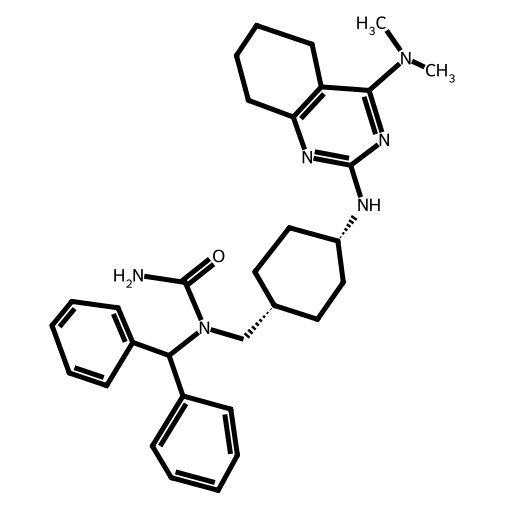 CN(C)c1nc(N[C@H]2CC[C@@H](CN(C(N)=O)C(c3ccccc3)c3ccccc3)CC2)nc2c1CCCC2